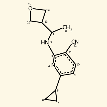 CC(Nc1nc(C2CC2)ccc1C#N)C1COC1